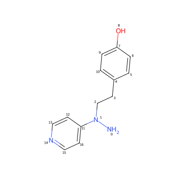 NN(CCc1ccc(O)cc1)c1ccncc1